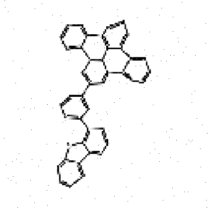 c1cc(-c2cc3c4ccccc4c4cccc5c6ccccc6c(c2)c3c45)cc(-c2cccc3c2sc2ccccc23)c1